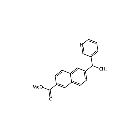 COC(=O)c1ccc2cc(C(C)c3cccnc3)ccc2c1